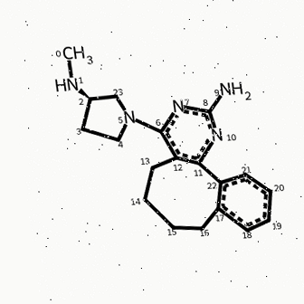 CN[C@@H]1CCN(c2nc(N)nc3c2CCCCc2ccccc2-3)C1